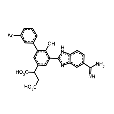 CC(=O)c1cccc(-c2cc(C(CC(=O)O)C(=O)O)cc(-c3nc4cc(C(=N)N)ccc4[nH]3)c2O)c1